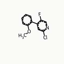 COc1ccccc1-c1cc(Cl)ncc1F